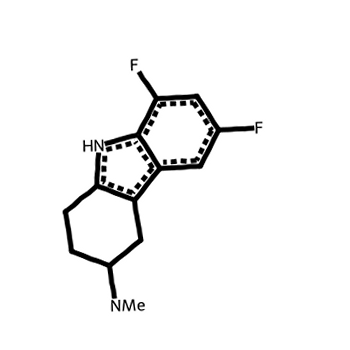 CNC1CCc2[nH]c3c(F)cc(F)cc3c2C1